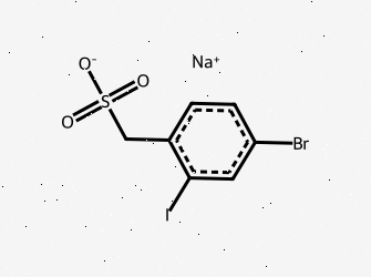 O=S(=O)([O-])Cc1ccc(Br)cc1I.[Na+]